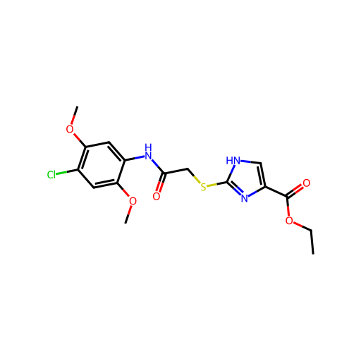 CCOC(=O)c1c[nH]c(SCC(=O)Nc2cc(OC)c(Cl)cc2OC)n1